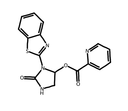 O=C(OC1CNC(=O)N1c1nc2ccccc2s1)c1ccccn1